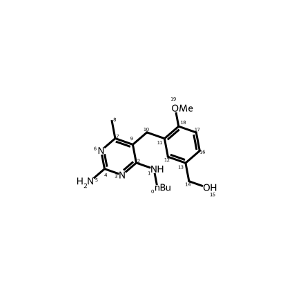 CCCCNc1nc(N)nc(C)c1Cc1cc(CO)ccc1OC